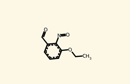 CCOc1cccc(C=O)c1N=O